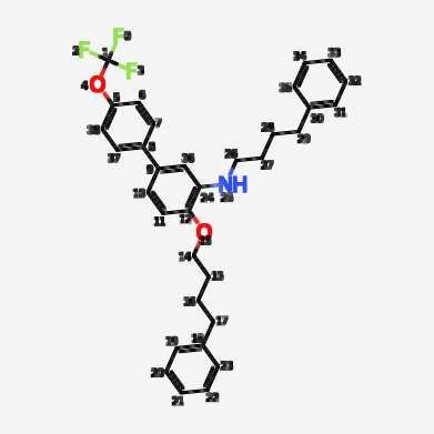 FC(F)(F)Oc1ccc(-c2ccc(OCCCCc3ccccc3)c(NCCCCc3ccccc3)c2)cc1